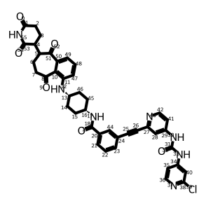 O=C1CCC(C2CCC(=O)c3c(N[C@H]4CC[C@@H](NC(=O)c5cccc(C#Cc6cc(NC(=O)Nc7ccnc(Cl)c7)ccn6)c5)CC4)cccc3C2=O)C(=O)N1